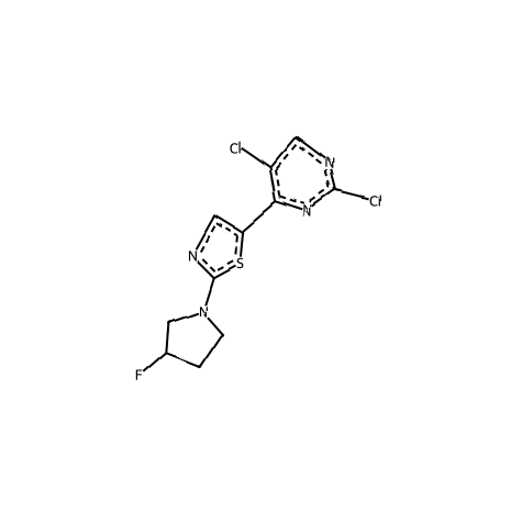 FC1CCN(c2ncc(-c3nc(Cl)ncc3Cl)s2)C1